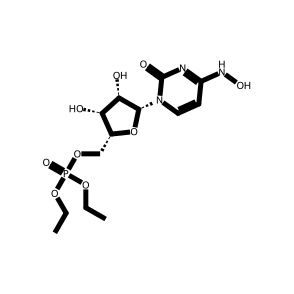 CCOP(=O)(OCC)OC[C@H]1O[C@@H](n2ccc(NO)nc2=O)[C@@H](O)[C@H]1O